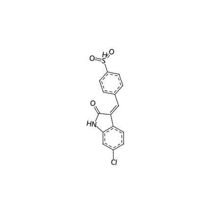 O=C1Nc2cc(Cl)ccc2C1=Cc1ccc([SH](=O)=O)cc1